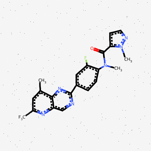 Cc1cc(C(F)(F)F)nc2cnc(-c3ccc(N(C)C(=O)c4ccnn4C)c(F)c3)nc12